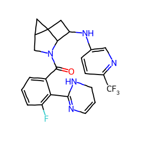 O=C(c1cccc(F)c1C1=NC=CCN1)N1CC2CC23CC(Nc2ccc(C(F)(F)F)nc2)C13